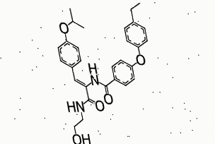 CCc1ccc(Oc2ccc(C(=O)N/C(=C\c3ccc(OC(C)C)cc3)C(=O)NCCO)cc2)cc1